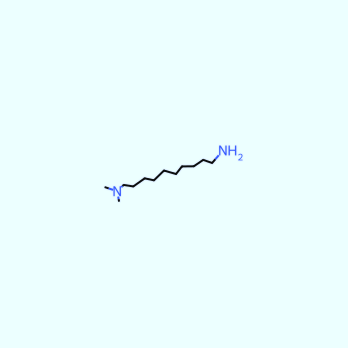 CN(C)CCCCCCCCCCN